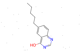 CCCCCc1ccc2ncnc(O)c2c1